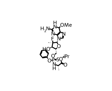 COC1NC(N)=Nc2c1ncn2[C@@H]1O[C@H](COP(=S)(N[C@@H](C)C(=O)OC(C)C)Oc2ccccc2)[C@@H](O)[C@@]1(C)F